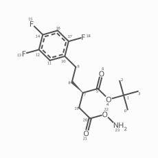 CC(C)(C)OC(=O)[C@H](CCc1cc(F)c(F)cc1F)CC(=O)ON